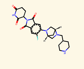 O=C1CCC(N2C(=O)c3cc(F)c(N4C[C@H]5C[C@@H]4CN5CC4CCNCC4)cc3C2=O)C(=O)N1